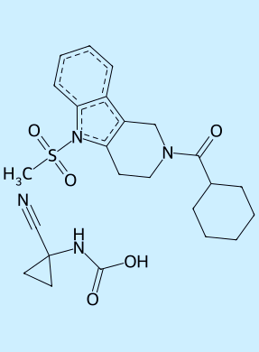 CS(=O)(=O)n1c2c(c3ccccc31)CN(C(=O)C1CCCCC1)CC2.N#CC1(NC(=O)O)CC1